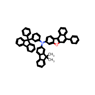 CC1(C)c2ccccc2-c2ccc(N(c3cccc(C4(c5ccccc5)c5ccccc5-c5ccccc54)c3)c3ccc4c(c3)oc3cc(-c5ccccc5)c5ccccc5c34)cc21